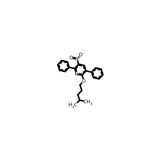 CC(C)CCCOc1nc(-c2ccccc2)c([N+](=O)[O-])cc1-c1ccccc1